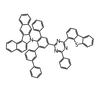 c1ccc(-c2cccc(-c3cc(-c4nc(-c5ccccc5)nc(-c5cccc6c5sc5ccccc56)n4)cc(-c4ccccc4)c3-n3c4cc5ccccc5cc4c4c5ccccc5ccc43)c2)cc1